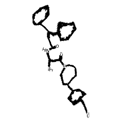 CC(C)C(NC(=O)CC(c1ccccc1)c1ccccc1)C(=O)N1CCC(c2ccc(Cl)cc2)CC1